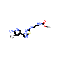 CC(C)(C)OC(=O)NCCCNc1nn2c(-c3cnc(N)c(C(F)(F)F)c3)cnc2s1